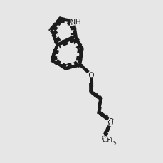 COCCCOc1ccc2[c]c[nH]c2c1